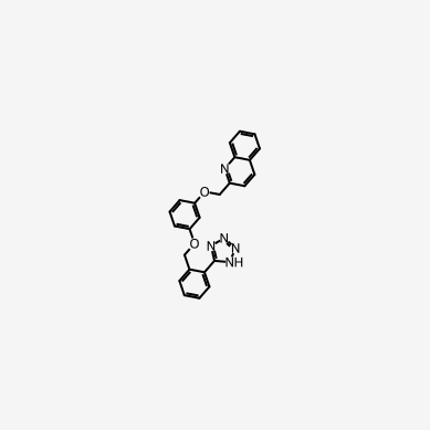 c1cc(OCc2ccc3ccccc3n2)cc(OCc2ccccc2-c2nnn[nH]2)c1